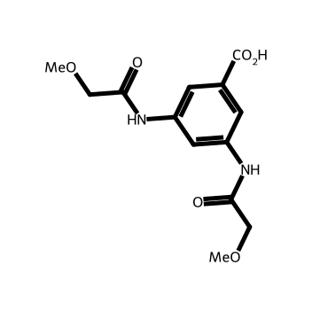 COCC(=O)Nc1cc(NC(=O)COC)cc(C(=O)O)c1